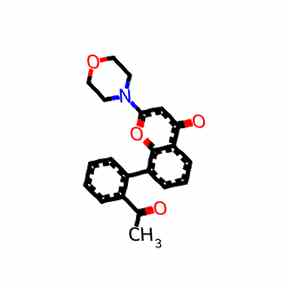 CC(=O)c1ccccc1-c1cccc2c(=O)cc(N3CCOCC3)oc12